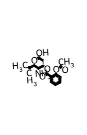 CC(=O)Oc1ccccc1C(=O)O[C@@H](CC(=O)O)[C@@H](N)CC(C)C